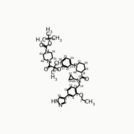 CCOc1cc(-c2cn[nH]c2)ccc1CN(C(=O)[C@@H]1CCCN(c2cccc(OC(C)(C)C(=O)N3CCN(C(=O)OC(C)(C)C)CC3)c2)C1)C1CC1